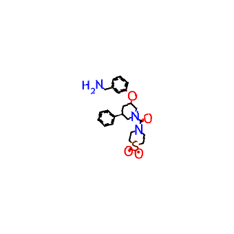 NCc1cccc(O[C@@H]2C[C@H](c3ccccc3)CN(C(=O)N3CCS(=O)(=O)CC3)C2)c1